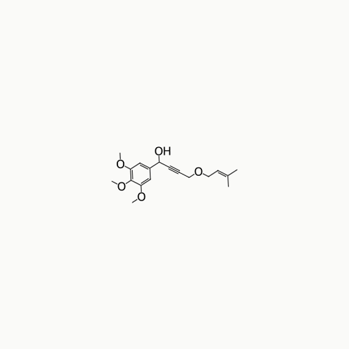 COc1cc(C(O)C#CCOCC=C(C)C)cc(OC)c1OC